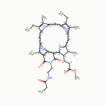 CCC(=O)NCCN1C(=O)c2c3nc(cc4[nH]c(cc5nc(cc6[nH]c2c(c6C)C1=O)C(CC)=C5C)c(CC)c4C)C(C)C3CCC(=O)OC